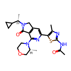 CC(=O)Nc1nc(C)c(-c2cc3c(c(N4CCOC[C@H]4C)n2)C(=O)N([C@@H](C)C2CC2)C3)s1